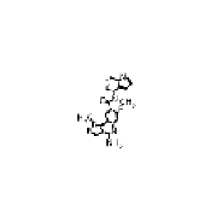 CN(C(=O)c1cc2c(cc1F)nc(N)c1cnn(C)c12)[C@H]1COCc2ncccc21